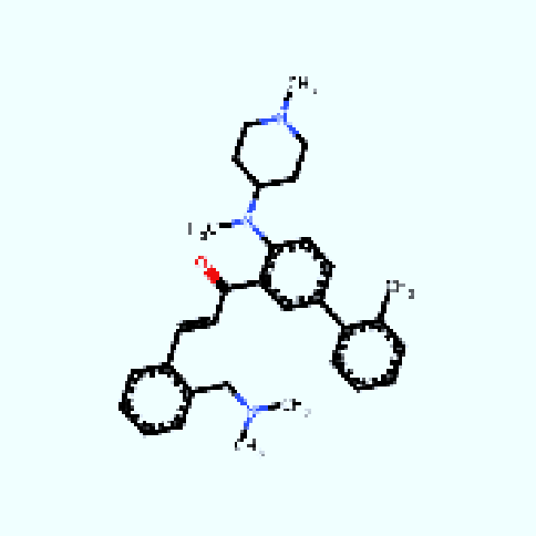 Cc1ccccc1-c1ccc(N(C)C2CCN(C)CC2)c(C(=O)C=Cc2ccccc2CN(C)C)c1